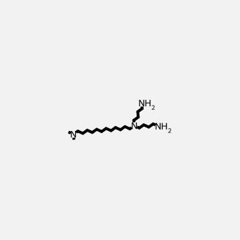 CN(C)CCCCCCCCCCCCN(CCCCN)CCCCN